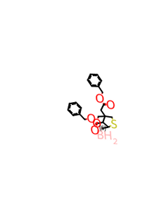 B[C@@H]1OCC2(CC(=O)OCc3ccccc3)CSC1C2C(=O)OCc1ccccc1